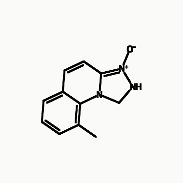 Cc1cccc2c1N1CN[N+]([O-])=C1C=C2